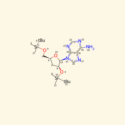 CC(C)(C)[Si](C)(C)OC[C@@H]1C[C@H](O[Si](C)(C)C(C)(C)C)[C@H](n2cnc3c(N)ncnc32)O1